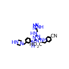 N#Cc1ccc(CC(Nc2nc(NCc3nnn[nH]3)nc(Nc3cccc(CN4CCNCC4)c3)n2)C(=O)O)cc1